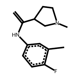 C=C(Nc1ccc(F)c(C)c1)C1CCN(C)C1